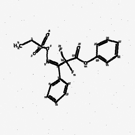 CCS(=O)(=O)ON=C(c1ccccc1)C(F)(F)C(=O)Oc1ccccc1